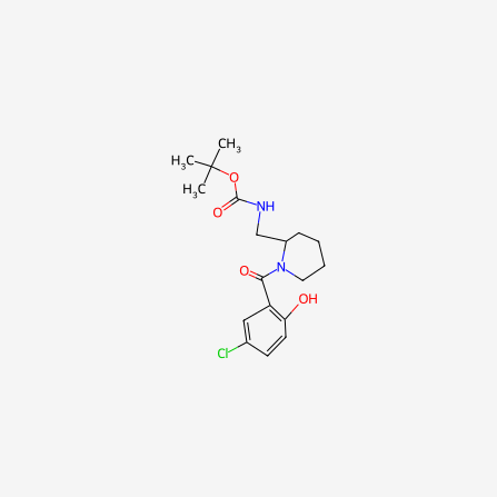 CC(C)(C)OC(=O)NCC1CCCCN1C(=O)c1cc(Cl)ccc1O